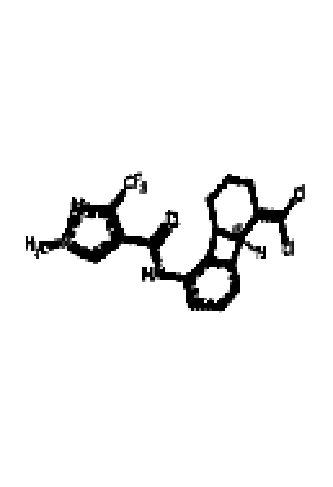 Cn1cc(C(=O)Nc2cccc3c2C2CCCC(=C(Cl)Cl)[C@@H]32)c(C(F)(F)F)n1